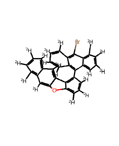 [2H]c1c([2H])c(-c2c3c([2H])c([2H])c([2H])c([2H])c3c(Br)c3c([2H])c([2H])c([2H])c([2H])c23)c2c(oc3c([2H])c4c([2H])c([2H])c([2H])c([2H])c4c([2H])c32)c1[2H]